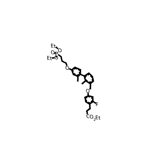 CCOC(=O)CCc1ccc(OCc2cccc(-c3ccc(OCCCP(=O)(OCC)OCC)cc3C)c2C)cc1F